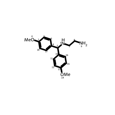 COc1ccc(C(NCCN)c2ccc(OC)cc2)cc1